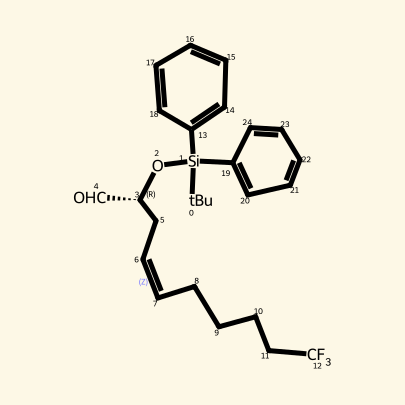 CC(C)(C)[Si](O[C@@H](C=O)C/C=C\CCCCC(F)(F)F)(c1ccccc1)c1ccccc1